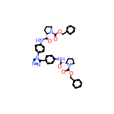 O=C(Nc1ccc(-c2nncn2-c2ccc(NC(=O)[C@@H]3CCCN3C(=O)OCc3ccccc3)cc2)cc1)[C@@H]1CCCN1C(=O)OCc1ccccc1